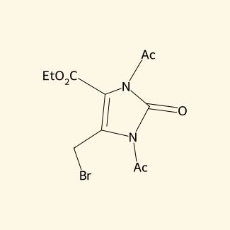 CCOC(=O)c1c(CBr)n(C(C)=O)c(=O)n1C(C)=O